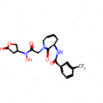 O=C1CC(N(O)C(=O)CN2CC=CCC(NC(=O)c3cccc(C(F)(F)F)c3)C2=O)CO1